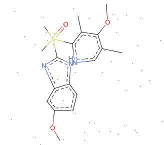 COc1ccc2[nH]c(S(C)(C)(=O)c3ncc(C)c(OC)c3C)nc2c1